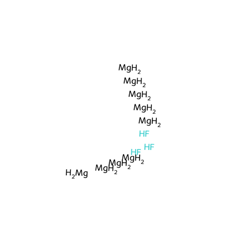 F.F.F.[MgH2].[MgH2].[MgH2].[MgH2].[MgH2].[MgH2].[MgH2].[MgH2].[MgH2]